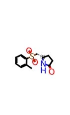 Cc1ccccc1S(=O)(=O)C[C@@H]1CCC(=O)N1